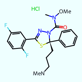 CNCCC[C@@]1(c2ccccc2)SC(c2cc(F)ccc2F)=NN1C(=O)N(C)OC.Cl